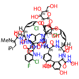 CN[C@H](CC(C)C)C(=O)N[C@H]1C(=O)N[C@@H](CC(N)=O)C(=O)N[C@H]2C(=O)N[C@H]3C(=O)N[C@H](C(=O)N[C@@H](C(=O)NO)c4cc(O)cc(O)c4-c4cc3ccc4O)[C@H](O)c3ccc(c(Cl)c3)Oc3cc2cc(c3O[C@@H]2O[C@H](CO)[C@@H](O)[C@H](O)[C@H]2O[C@H]2C[C@](C)(NCc3cncc(NC(=O)c4ccc(F)c(Cl)c4)c3)[C@H](O)[C@H](C)O2)Oc2ccc(cc2Cl)[C@H]1O